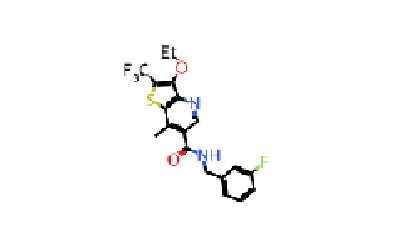 CCOc1c(C(F)(F)F)sc2c(C)c(C(=O)NCc3cccc(F)c3)cnc12